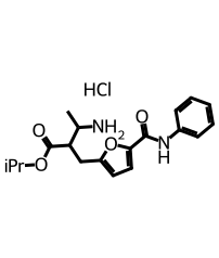 CC(C)OC(=O)C(Cc1ccc(C(=O)Nc2ccccc2)o1)C(C)N.Cl